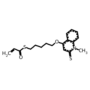 C=CC(=O)SCCCCCOc1cc(=S)n(C)c2ccccc12